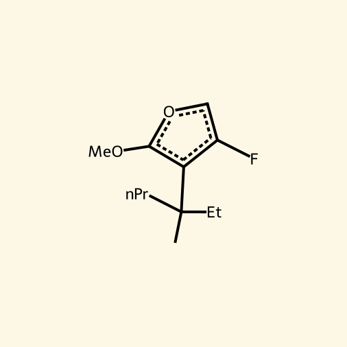 CCCC(C)(CC)c1c(F)coc1OC